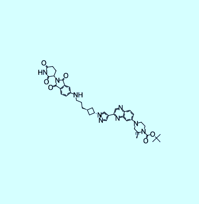 C[C@H]1CN(c2ccc3ncc(-c4cnn([C@H]5C[C@H](CCCNc6ccc7c(c6)C(=O)N(C6CCC(=O)NC6=O)C7=O)C5)c4)nc3c2)CCN1C(=O)OC(C)(C)C